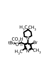 Cc1nc(C)c([C@H](OC(C)(C)C)C(=O)O)c(N2CCC(C)(C)CC2)c1Br